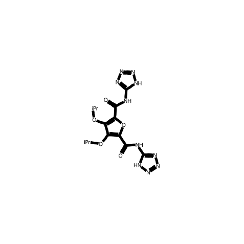 CC(C)Oc1c(C(=O)Nc2nnn[nH]2)oc(C(=O)Nc2nnn[nH]2)c1OC(C)C